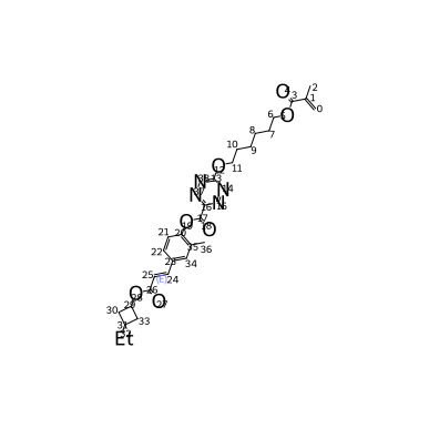 C=C(C)C(=O)OCCCCCCOc1nnc(C(=O)Oc2ccc(/C=C/C(=O)OC3CC(CC)C3)cc2C)nn1